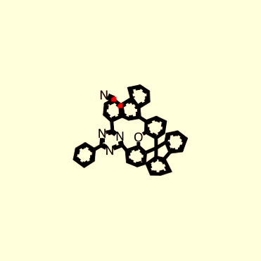 N#Cc1ccc(-c2cccc3c2Oc2c(-c4nc(-c5ccccc5)nc(-c5ccccc5)n4)cccc2C32c3ccccc3-c3ccccc32)c2ccccc12